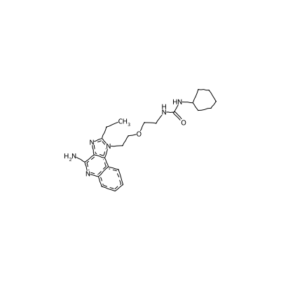 CCc1nc2c(N)nc3ccccc3c2n1CCOCCNC(=O)NC1CCCCC1